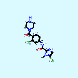 Cn1c(Br)cnc1C(=O)Nc1ccc(C(=O)N2CCNCC2)c(Cl)c1